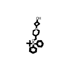 CC(C)(C)[Si](OCC1CCN(C2CC(O)C2)CC1)(c1ccccc1)c1ccccc1